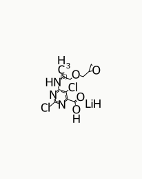 C[C@@H](COCC1CO1)Nc1nc(Cl)nc(C(=O)O)c1Cl.[LiH]